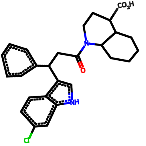 O=C(O)C1CCN(C(=O)CC(c2ccccc2)c2c[nH]c3cc(Cl)ccc23)C2CCCCC12